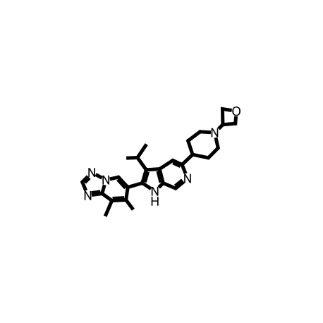 Cc1c(-c2[nH]c3cnc(C4CCN(C5COC5)CC4)cc3c2C(C)C)cn2ncnc2c1C